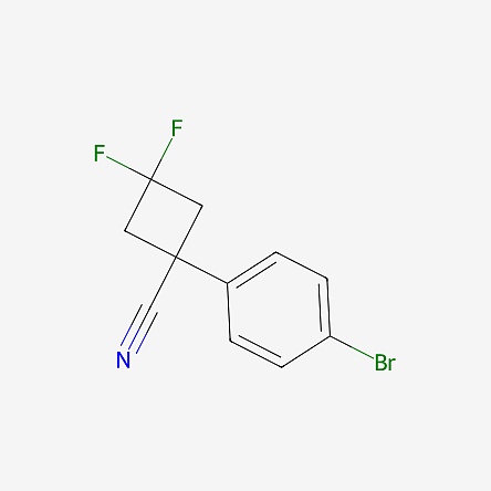 N#CC1(c2ccc(Br)cc2)CC(F)(F)C1